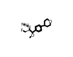 CO[C@H](c1ccc(C2CCOCC2)cc1)[C@@H](CF)N=[N+]=[N-]